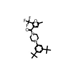 Cc1cc(C(=O)N2CCN(c3cc(C(C)(C)C)cc(C(C)(C)C)c3)CC2)c(C(F)(F)F)o1